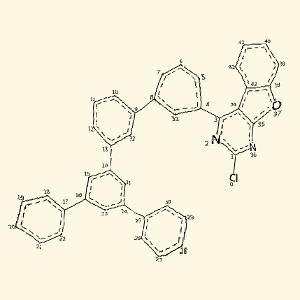 Clc1nc(-c2cccc(-c3cccc(-c4cc(-c5ccccc5)cc(-c5ccccc5)c4)c3)c2)c2c(n1)oc1ccccc12